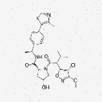 COc1noc(C(C(=O)N2C[C@H](O)C[C@H]2C(=O)N[C@@H](C)c2ccc(-c3scnc3C)cc2)C(C)C)c1Cl